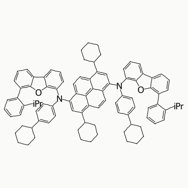 CC(C)c1ccccc1-c1cccc2c1oc1c(N(c3ccc(C4CCCCC4)cc3)c3cc(C4CCCCC4)c4ccc5c(N(c6ccc(C7CCCCC7)cc6)c6cccc7c6oc6c(-c8ccccc8C(C)C)cccc67)cc(C6CCCCC6)c6ccc3c4c65)cccc12